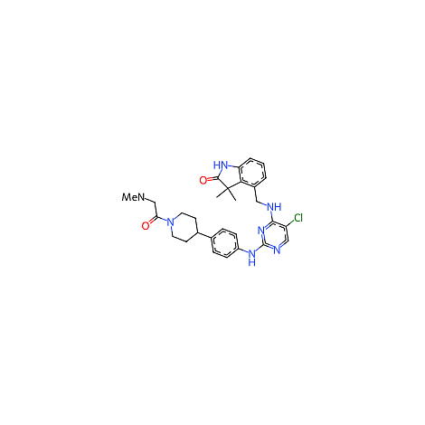 CNCC(=O)N1CCC(c2ccc(Nc3ncc(Cl)c(NCc4cccc5c4C(C)(C)C(=O)N5)n3)cc2)CC1